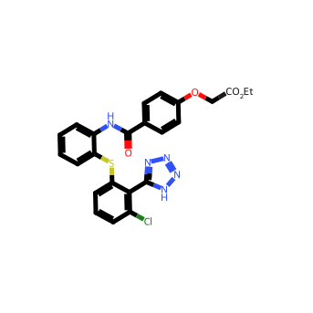 CCOC(=O)COc1ccc(C(=O)Nc2ccccc2Sc2cccc(Cl)c2-c2nnn[nH]2)cc1